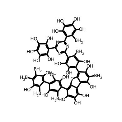 Bc1c(B)c(O)c(-c2c(O)c(B)c(-c3c(O)c(O)c(O)c4c3sc3c(-c5c(O)c(B)c(-c6nc(-c7c(B)c(O)c(O)c(O)c7O)nc(-c7c(O)c(O)c(O)c(O)c7O)n6)c(O)c5O)c(O)c(B)c(O)c34)c(O)c2O)c(B)c1O